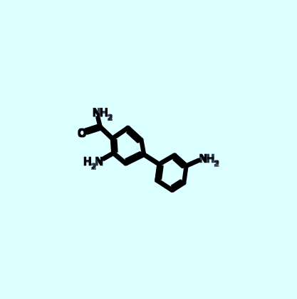 NC(=O)c1ccc(-c2cccc(N)c2)cc1N